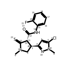 CN1C[C@H](c2cc(Cl)n(C)n2)[C@@H](C(=O)Nc2ccccc2F)C1=S